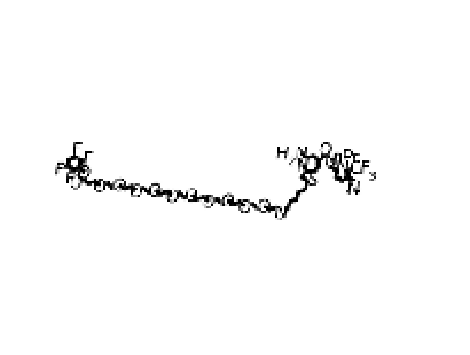 CCCN(Cc1ccc(CN(C)C)c(C(F)(F)F)n1)C(=O)C1=Cc2sc(CCCCCN(C)CCOCCOCCOCCOCCOCCOCCOCCOCCOCCOCCC(=O)Oc3c(F)c(F)cc(F)c3F)cc2N=C(N)C1